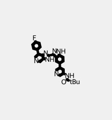 CC(C)(C)C(=O)Nc1cncc(-c2ccc3[nH]nc(-c4nc5c(-c6ccc(F)cc6)cncc5[nH]4)c3c2)c1